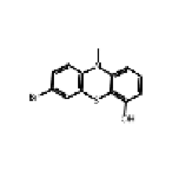 CN1c2ccc(Br)cc2Sc2c(O)cccc21